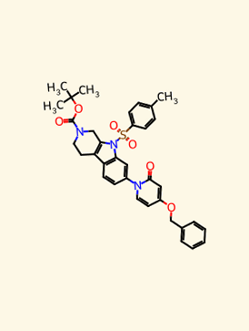 Cc1ccc(S(=O)(=O)n2c3c(c4ccc(-n5ccc(OCc6ccccc6)cc5=O)cc42)CCN(C(=O)OC(C)(C)C)C3)cc1